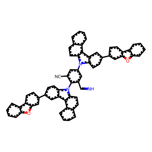 N#Cc1cc(-n2c3ccc(-c4ccc5c(c4)oc4ccccc45)cc3c3c4ccccc4ccc32)cc(C=N)c1-n1c2ccc(-c3ccc4c(c3)oc3ccccc34)cc2c2c3ccccc3ccc21